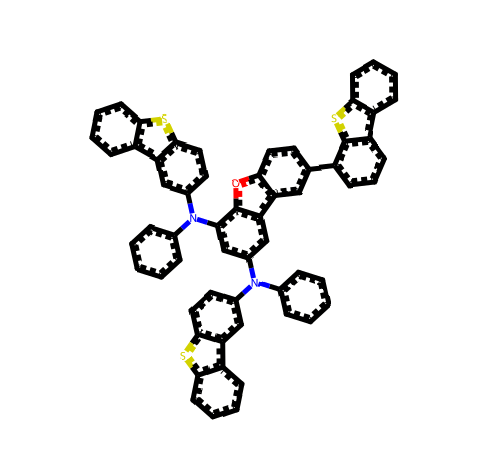 c1ccc(N(c2ccc3sc4ccccc4c3c2)c2cc(N(c3ccccc3)c3ccc4sc5ccccc5c4c3)c3oc4ccc(-c5cccc6c5sc5ccccc56)cc4c3c2)cc1